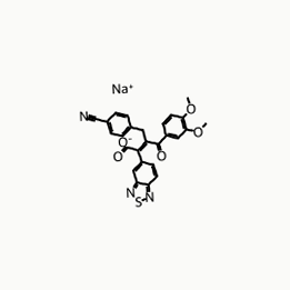 COc1ccc(C(=O)/C(Cc2ccc(C#N)cc2)=C(/C(=O)[O-])c2ccc3nsnc3c2)cc1OC.[Na+]